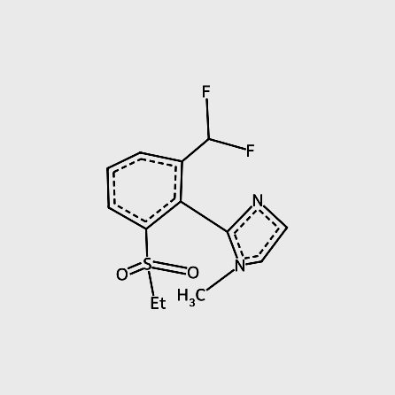 CCS(=O)(=O)c1cccc(C(F)F)c1-c1nccn1C